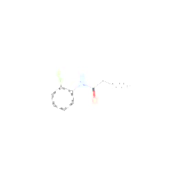 CNCC(=O)Nc1ccccc1F